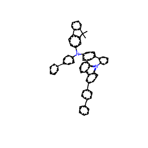 CC1(C)c2ccccc2-c2ccc(N(c3ccc(-c4ccccc4)cc3)c3ccc(-c4ccccc4-n4c5ccccc5c5cc(-c6ccc(-c7ccccc7)cc6)ccc54)cc3)cc21